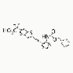 O=C(Nc1ncsc1C#Cc1cc2sc(C3(C(=O)O)CC3)cc2s1)OCc1ccccc1